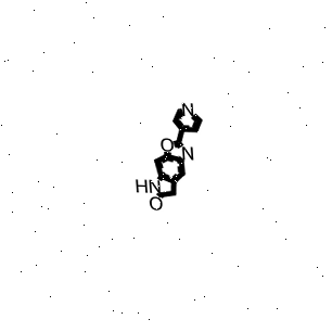 O=C1Cc2cc3nc(-c4ccncc4)oc3cc2N1